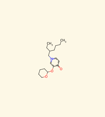 CCCCC(CC)Cn1ccc(=O)c(OC2CCCCO2)c1